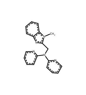 Cn1c(CN(c2ccccn2)c2ccccn2)nc2ccccc21